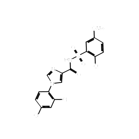 COc1ccc(Cl)c(S(=O)(=O)NC(=O)c2cn(-c3ccc(Cl)cc3Cl)cn2)c1